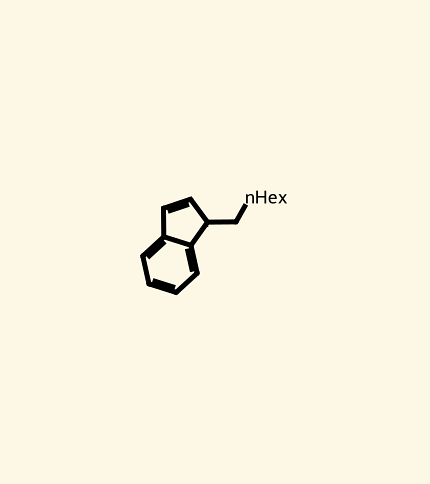 CCCCCCC[C]1C=Cc2ccccc21